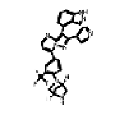 FC(F)(F)c1cc(-c2ccnc3c(-c4cccc5[nH]ncc45)c(-c4ccncc4)nn23)ccc1N1C[C@@H]2C[C@H]1CN2